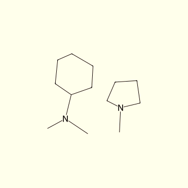 CN(C)C1CCCCC1.CN1CCCC1